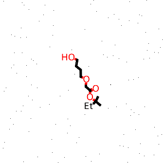 CCC(C)(C)OC(=O)COCCCCO